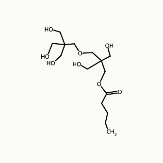 CCCCC(=O)OCC(CO)(CO)COCC(CO)(CO)CO